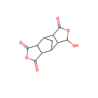 O=C1OC(=O)C2C3CC(C12)C1C(=O)OC(O)C31